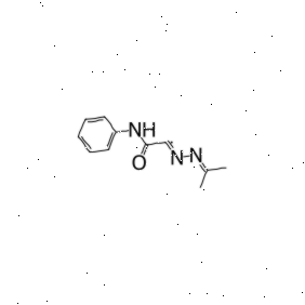 CC(C)=NN=[C]C(=O)Nc1ccccc1